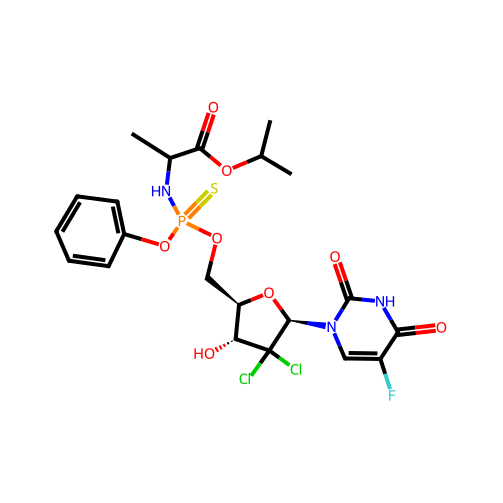 CC(C)OC(=O)C(C)NP(=S)(OC[C@H]1O[C@@H](n2cc(F)c(=O)[nH]c2=O)C(Cl)(Cl)[C@@H]1O)Oc1ccccc1